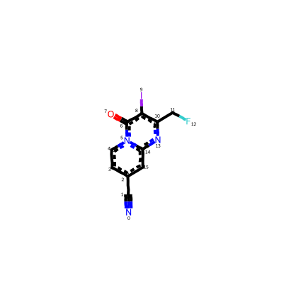 N#Cc1ccn2c(=O)c(I)c(CF)nc2c1